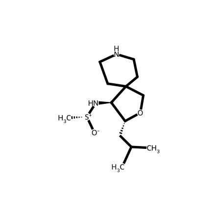 CC(C)C[C@H]1OCC2(CCNCC2)[C@@H]1N[S@@+](C)[O-]